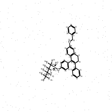 O=S(=O)(Oc1ccc(C2=C(c3ccccc3)CCc3cc(OCc4ccccc4)ccc32)cc1)C(F)(F)C(F)(F)C(F)(F)C(F)(F)F